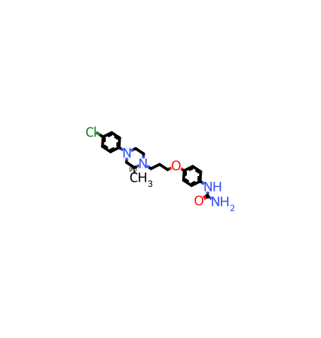 C[C@@H]1CN(c2ccc(Cl)cc2)CCN1CCCOc1ccc(NC(N)=O)cc1